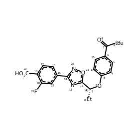 CC[C@@H](Oc1ccc(C(=O)C(C)(C)C)cc1)c1nc(-c2ccc(C(=O)O)c(F)c2)no1